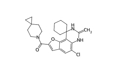 C=C1Nc2c(Cl)cc3cc(C(=O)N4CCC5(CC4)CC5)oc3c2C2(CCCCC2)N1